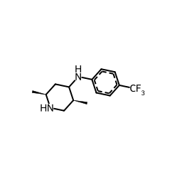 C[C@H]1CC(Nc2ccc(C(F)(F)F)cc2)[C@@H](C)CN1